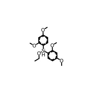 CCO[SiH](c1ccc(OC)cc1OC)c1ccc(OC)cc1OC